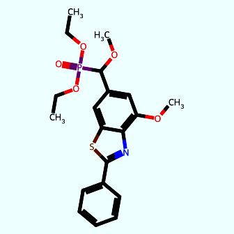 CCOP(=O)(OCC)C(OC)c1cc(OC)c2nc(-c3ccccc3)sc2c1